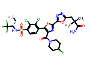 CC[C@H](NS(=O)(=O)c1ccc(-c2sc(-c3nnc(CC(C)(C)C(N)=O)o3)nc2C(=O)N2CCC(F)CC2)c(Cl)c1Cl)C(F)(F)F